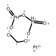 ClCCl.O=[PH]([O-])O[PH](=O)[O-].[Pt+2]